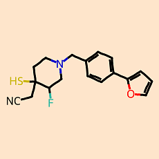 N#CCC1(S)CCN(Cc2ccc(-c3ccco3)cc2)CC1F